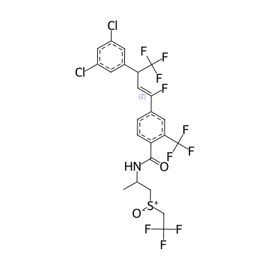 CC(C[S+]([O-])CC(F)(F)F)NC(=O)c1ccc(/C(F)=C/C(c2cc(Cl)cc(Cl)c2)C(F)(F)F)cc1C(F)(F)F